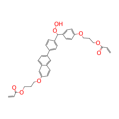 C=CC(=O)OCCCOc1ccc(C(OO)c2ccc(-c3ccc4cc(OCCCOC(=O)C=C)ccc4c3)cc2)cc1